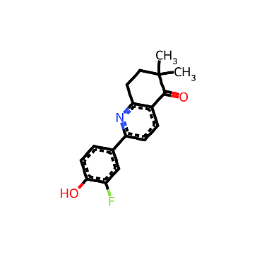 CC1(C)CCc2nc(-c3ccc(O)c(F)c3)ccc2C1=O